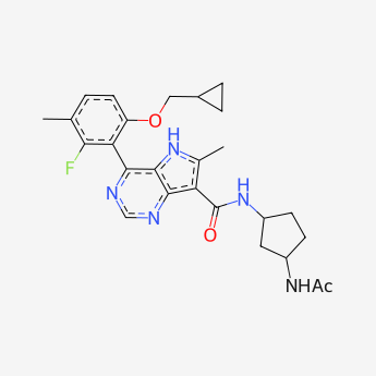 CC(=O)NC1CCC(NC(=O)c2c(C)[nH]c3c(-c4c(OCC5CC5)ccc(C)c4F)ncnc23)C1